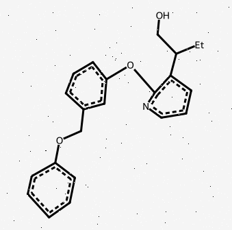 CCC(CO)c1cccnc1Oc1cccc(COc2ccccc2)c1